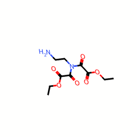 CCOC(=O)C(=O)N(CCN)C(=O)C(=O)OCC